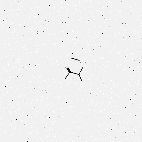 CC.CCC(Br)C(=O)C(=O)O